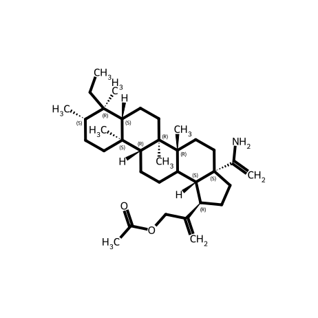 C=C(COC(C)=O)[C@@H]1CC[C@]2(C(=C)N)CC[C@]3(C)C(CC[C@@H]4[C@@]5(C)CC[C@H](C)[C@@](C)(CC)[C@@H]5CC[C@]43C)[C@@H]12